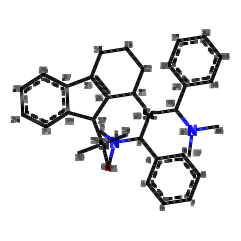 CN(C)[CH](c1ccccc1)[Sc]([CH]1CCCC2=C1C([Si](C)(C)C)c1ccccc12)[CH](c1ccccc1)N(C)C